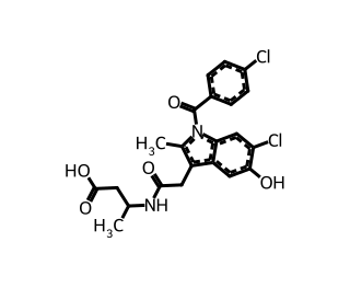 Cc1c(CC(=O)NC(C)CC(=O)O)c2cc(O)c(Cl)cc2n1C(=O)c1ccc(Cl)cc1